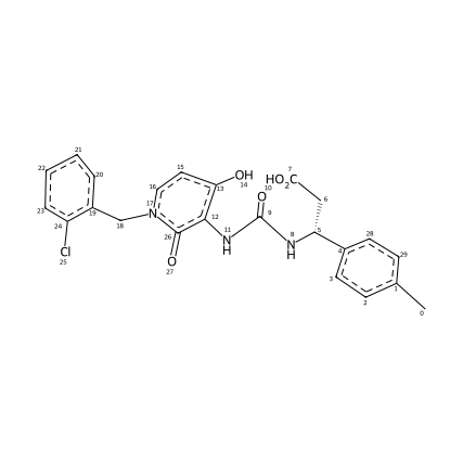 Cc1ccc([C@@H](CC(=O)O)NC(=O)Nc2c(O)ccn(Cc3ccccc3Cl)c2=O)cc1